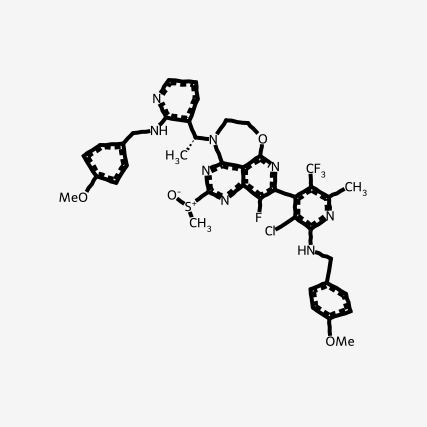 COc1ccc(CNc2ncccc2[C@@H](C)N2CCOc3nc(-c4c(Cl)c(NCc5ccc(OC)cc5)nc(C)c4C(F)(F)F)c(F)c4nc([S+](C)[O-])nc2c34)cc1